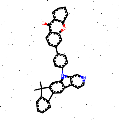 CC1(C)c2ccccc2-c2cc3c4ccncc4n(-c4ccc(-c5ccc6c(=O)c7ccccc7oc6c5)cc4)c3cc21